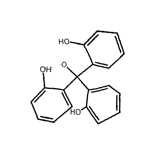 [O]C(c1ccccc1O)(c1ccccc1O)c1ccccc1O